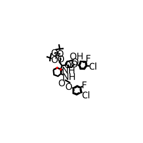 CC(C)(C)OP(=O)(OCC(CCC(=O)O)C1(NC(=O)COc2ccc(Cl)c(F)c2)CC2CCC1(NC(=O)COc1ccc(Cl)c(F)c1)CC2)OC(C)(C)C